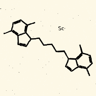 Cc1ccc(C)c2c1C=CC2CCCCCC1C=Cc2c(C)ccc(C)c21.[Sc]